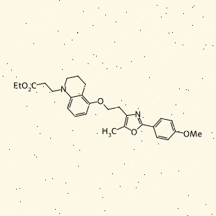 CCOC(=O)CCN1CCCc2c(OCCc3nc(-c4ccc(OC)cc4)oc3C)cccc21